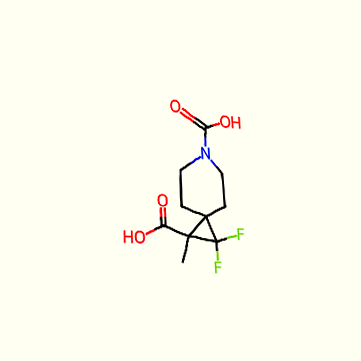 CC1(C(=O)O)C(F)(F)C12CCN(C(=O)O)CC2